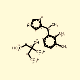 Cc1cccc([C@H](C)c2c[nH]cn2)c1C.O=C(O)CC(O)(CC(=O)O)C(=O)O